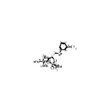 CCC[CH2][Sn](/[CH]=C/[C@H](COc1cccc(C(F)(F)F)c1)O[Si](C)(C)C(C)(C)C)([CH2]CCC)[CH2]CCC